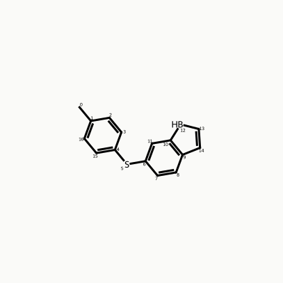 Cc1ccc(Sc2ccc3c(c2)BC=C3)cc1